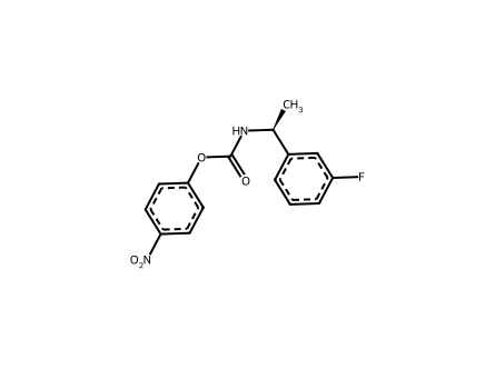 C[C@H](NC(=O)Oc1ccc([N+](=O)[O-])cc1)c1cccc(F)c1